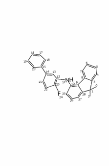 CC1(C)c2ccccc2-c2c(Nc3cc(-c4ccccc4)ccc3F)cccc21